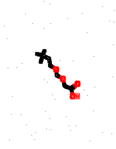 C[Si](C)(C)CCOCOCC(=O)O